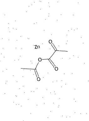 CC(=O)OC(=O)C(C)=O.[Zn]